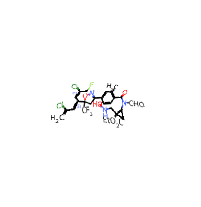 C=C(Cl)/C=C(\C=C(\Cl)CF)C1(C(F)(F)F)CC(c2ccc(C(=O)N(C=O)C3CC3(CNO)C(=O)OCC)c(C)c2)=NO1